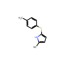 Cc1ccc(Sc2ccc(C#N)[nH]2)cc1